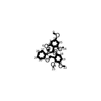 COc1cc(OC)c(C(=O)P(=O)(C(=O)c2c(OC)ccc(OC)c2OC)c2ccccc2)c(OC)c1